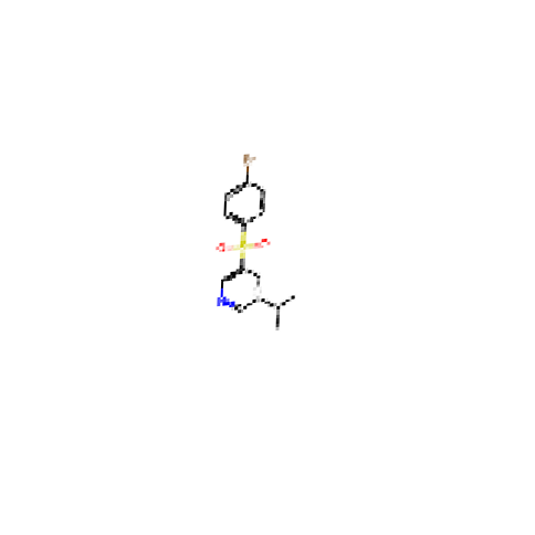 CC(C)c1cncc(S(=O)(=O)c2ccc(Br)cc2)c1